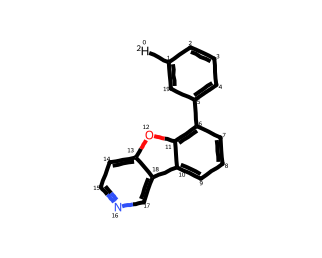 [2H]c1cccc(-c2cccc3c2oc2ccncc23)c1